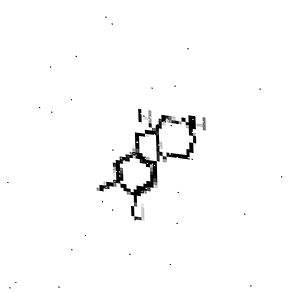 Cc1cc2c(cc1Cl)N1CCNC[C@@H]1C2